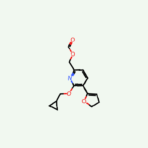 O=COCc1ccc(C2=CCCO2)c(OCC2CC2)n1